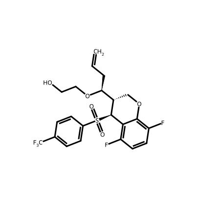 C=CC[C@H](OCCO)[C@@H]1COc2c(F)ccc(F)c2[C@H]1S(=O)(=O)c1ccc(C(F)(F)F)cc1